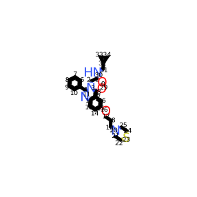 O=C(Cn1c(-c2ccccc2)nc2ccc(OCCCN3CCSCC3)cc2c1=O)NCC1CC1